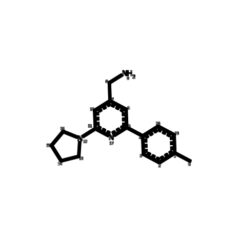 Cc1ccc(-c2cc(CN)cc(N3CCCC3)n2)cc1